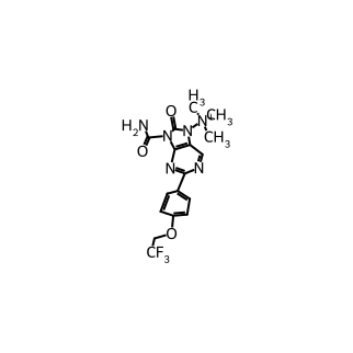 C[N+](C)(C)n1c(=O)n(C(N)=O)c2nc(-c3ccc(OCC(F)(F)F)cc3)ncc21